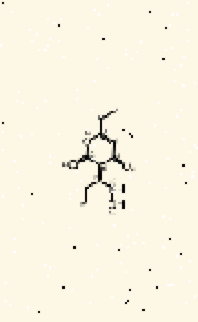 CCC1=CC(=O)C(=C(CC)NO)C(=O)O1